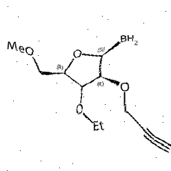 B[C@@H]1O[C@H](COC)C(OCC)[C@@H]1OCC#C